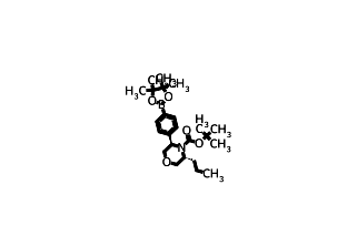 CCC[C@@H]1COC[C@@H](c2ccc(B3OC(C)(C)C(C)(C)O3)cc2)N1C(=O)OC(C)(C)C